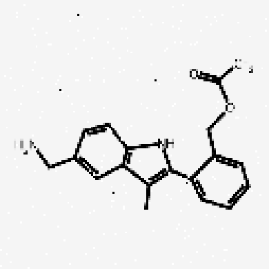 Cc1c(-c2ccccc2COC(=O)C(F)(F)F)[nH]c2ccc(CN)cc12